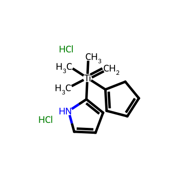 Cl.Cl.[CH2]=[Ti]([CH3])([CH3])([CH3])([C]1=CC=CC1)[c]1ccc[nH]1